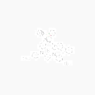 CC(C)(C)c1ccc(N2c3cccc4c3B(c3c2ccc2c(-c5ccccc5)c(-c5ccccc5)oc32)c2c(c3c5sc6ccccc6c5ccc3n2-c2ccc(C(C)(C)C)cc2)N4c2ccc(C(C)(C)C)cc2)cc1